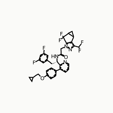 O=C(Cn1nc(C(F)F)c2c1C(F)(F)C1CC21)N[C@@H](Cc1cc(F)cc(F)c1)c1ncccc1-c1ccc(OCC2CC2)cc1